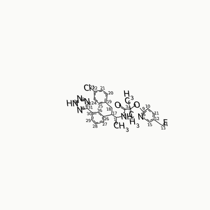 CC(NC(=O)C(C)(C)Oc1ccc(CF)cn1)C(Cc1ccc(Cl)cc1)c1cccc(-c2nn[nH]n2)c1